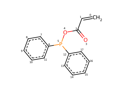 C=CC(=O)OP(c1ccccc1)c1ccccc1